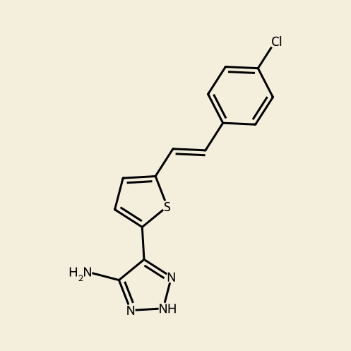 Nc1n[nH]nc1-c1ccc(/C=C/c2ccc(Cl)cc2)s1